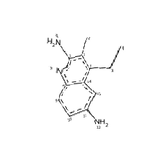 CCc1c(C)c(N)nc2ccc(N)cc12